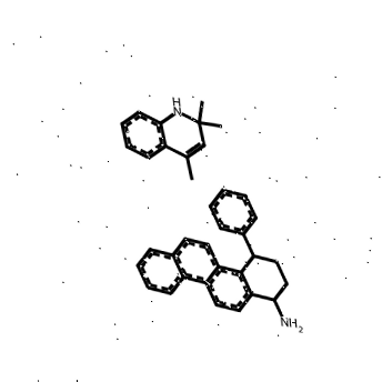 CC1=CC(C)(C)Nc2ccccc21.NC1CCC(c2ccccc2)c2c1ccc1c2ccc2ccccc21